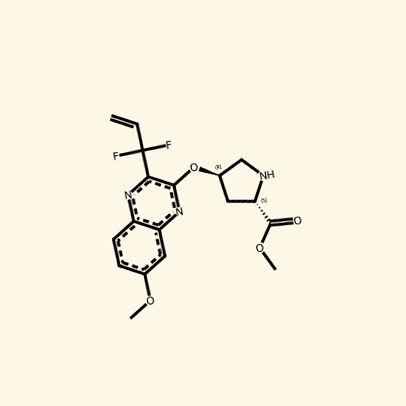 C=CC(F)(F)c1nc2ccc(OC)cc2nc1O[C@H]1CN[C@H](C(=O)OC)C1